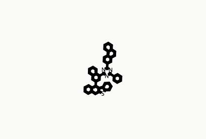 c1ccc(-c2nc(-c3ccc4c(ccc5ccccc54)c3)nc(-c3cc(-c4c5ccccc5cc5sc6ccccc6c45)cc4ccccc34)n2)cc1